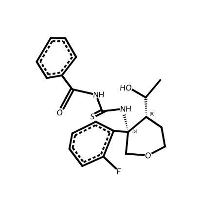 CC(O)[C@@H]1CCOC[C@@]1(NC(=S)NC(=O)c1ccccc1)c1ccccc1F